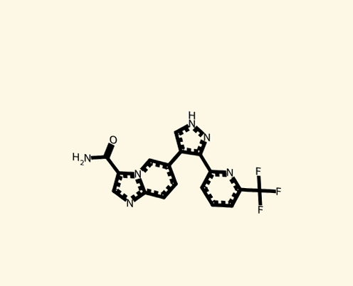 NC(=O)c1cnc2ccc(-c3c[nH]nc3-c3cccc(C(F)(F)F)n3)cn12